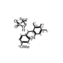 COc1ccc(Cc2c(N)cc(C)c(C)c2C)cc1.O=S(=O)(O)C(F)(F)F